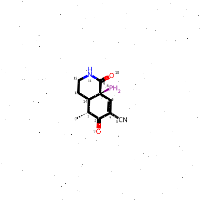 C[C@H]1C(=O)C(C#N)=C[C@@]2(P)C(=O)NCCC12